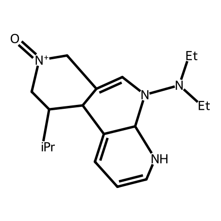 CCN(CC)N1C=C2C[N+](=O)CC(C(C)C)C2C2=CC=CNC21